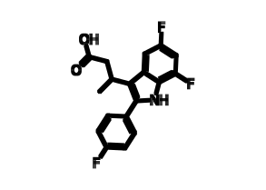 CC(CC(=O)O)c1c(-c2ccc(F)cc2)[nH]c2c(F)cc(F)cc12